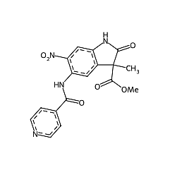 COC(=O)C1(C)C(=O)Nc2cc([N+](=O)[O-])c(NC(=O)c3ccncc3)cc21